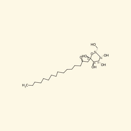 CCCCCCCCCCCCCCC(=O)C[C@]1(O)O[C@H](CO)[C@H](O)[C@H](O)[C@H]1O